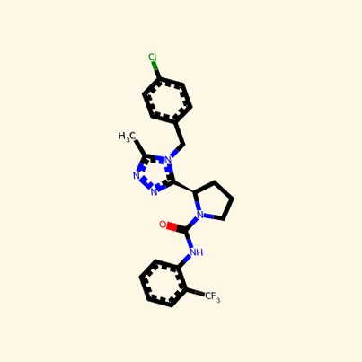 Cc1nnc([C@H]2CCCN2C(=O)Nc2ccccc2C(F)(F)F)n1Cc1ccc(Cl)cc1